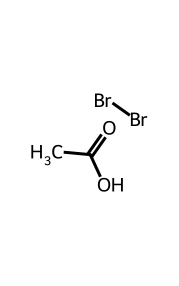 BrBr.CC(=O)O